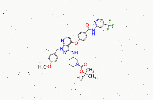 COc1ccc(Cn2nc(NC3CCCN(C(=O)OC(C)(C)C)C3)c3c(Oc4ccc(C(=O)Nc5cc(C(F)(F)F)ccn5)cc4)ccnc32)cc1